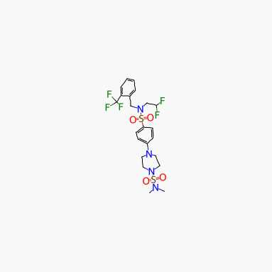 CN(C)S(=O)(=O)N1CCN(c2ccc(S(=O)(=O)N(Cc3ccccc3C(F)(F)F)CC(F)F)cc2)CC1